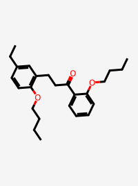 CCCCOc1ccc(CC)cc1CCC(=O)c1ccccc1OCCCC